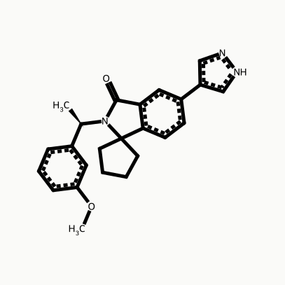 COc1cccc([C@@H](C)N2C(=O)c3cc(-c4cn[nH]c4)ccc3C23CCCC3)c1